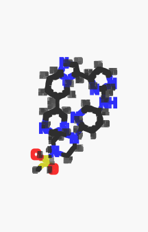 CS(=O)(=O)N1CCN(c2ccc(Nc3nccc(-c4cnc5ccc(-c6cncnc6)cn45)n3)cn2)CC1